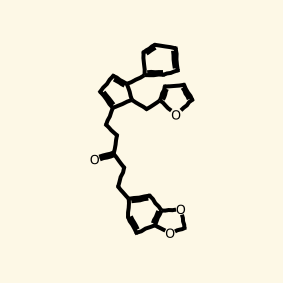 O=C(CCC1=CC=C(c2ccccc2)C1Cc1ccco1)CCc1ccc2c(c1)OCO2